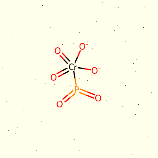 O=[P](=O)[Cr](=[O])(=[O])([O-])[O-]